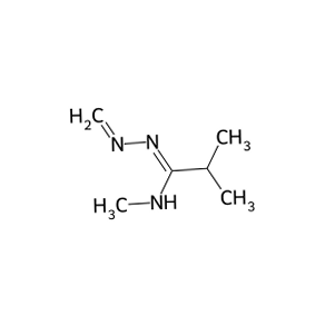 C=N/N=C(\NC)C(C)C